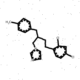 Cc1ccc(CC(CCc2ccc(Cl)cc2Cl)Cn2ccnc2)cc1